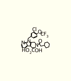 O=C(CC1CCCCC1)N1CCc2c(n(Cc3ccc(OC(F)(F)F)c(Cl)c3)c3ncccc23)C1.O=C(O)O